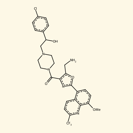 COc1ccc(-c2nc(C(=O)N3CCN(CC(O)c4ccc(Cl)cc4)CC3)c(CN)o2)c2ccc(C(F)(F)F)nc12